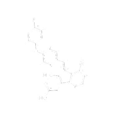 CC1=C(CC(=O)O)c2cccc(Br)c2/C1=C/c1ccc(Oc2ccc(F)cc2)cc1